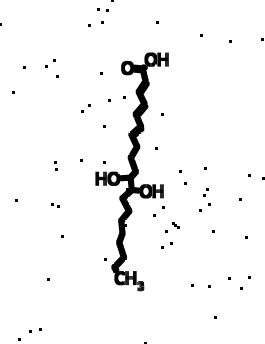 CCCCCCCCC(O)C(O)CCC/C=C/C=C/C=C/C(=O)O